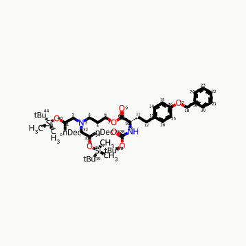 CCCCCCCCCCC(CN(CCCOC(=O)[C@H](CCc1ccc(OCc2ccccc2)cc1)NC(=O)OC(C)(C)C)CC(CCCCCCCCCC)O[Si](C)(C)C(C)(C)C)O[Si](C)(C)C(C)(C)C